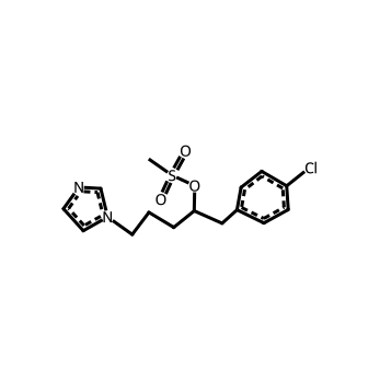 CS(=O)(=O)OC(CCCn1ccnc1)Cc1ccc(Cl)cc1